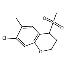 Cc1cc2c(cc1Cl)OCCC2S(C)(=O)=O